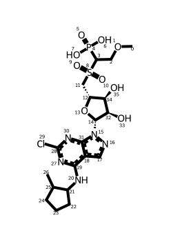 COCC(P(=O)(O)O)S(=O)(=O)C[C@H]1O[C@@H](n2ncc3c(NC4CCCC4C)nc(Cl)nc32)[C@H](O)[C@@H]1O